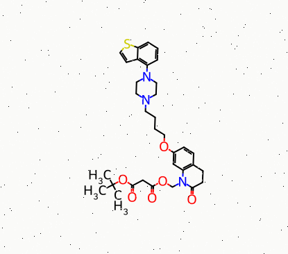 CC(C)(C)OC(=O)CC(=O)OCN1C(=O)CCc2ccc(OCCCCN3CCN(c4cccc5sccc45)CC3)cc21